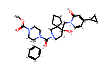 CC(C)(C)OC(=O)N1CCN(C(=O)N2CC[C@@](O)(Cn3ccc(C4CC4)cc3=O)C3(CCCC3)C2)[C@H](c2ccccc2)C1